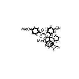 COc1ccc(S(=O)(=O)N2C(=O)C(c3cccnc3OC)(N3CCC[C@H]3C(=O)N(C)C)c3cc(C#N)ccc32)cc1